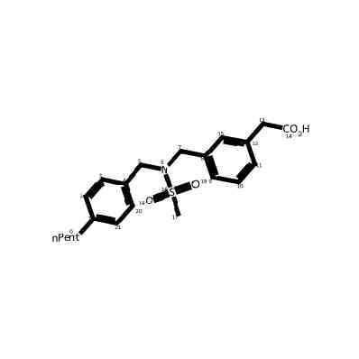 CCCCCc1ccc(CN(Cc2cccc(CC(=O)O)c2)S(C)(=O)=O)cc1